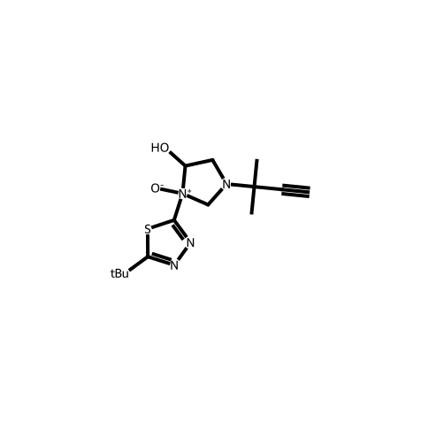 C#CC(C)(C)N1CC(O)[N+]([O-])(c2nnc(C(C)(C)C)s2)C1